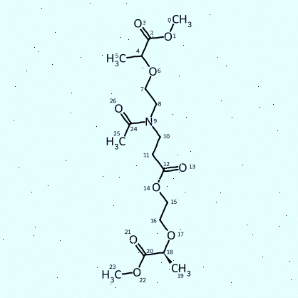 COC(=O)C(C)OCCN(CCC(=O)OCCO[C@@H](C)C(=O)OC)C(C)=O